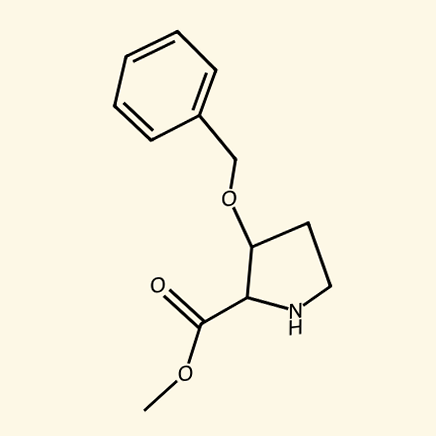 COC(=O)C1NCCC1OCc1ccccc1